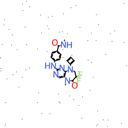 CNC(=O)c1ccc(Nc2ncc3c(n2)N(C2=CC=C2)CC(F)(F)C(=O)N3C)cc1